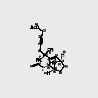 C=CC[C@@H]1C(C(C#N)(C#N)CC#CCOC(C)=O)=C[C@H]2CC[C@@H]1N2